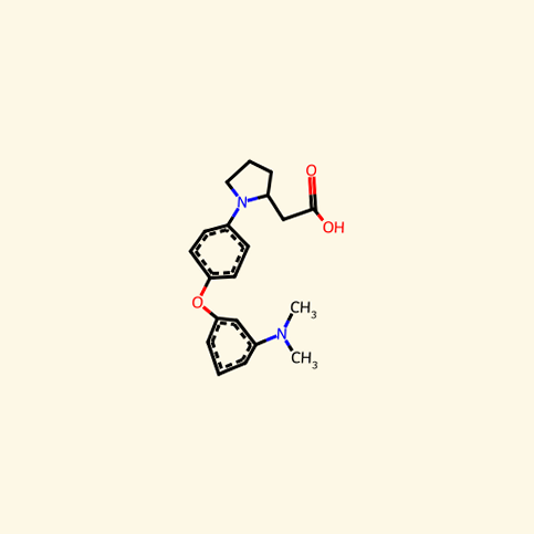 CN(C)c1cccc(Oc2ccc(N3CCCC3CC(=O)O)cc2)c1